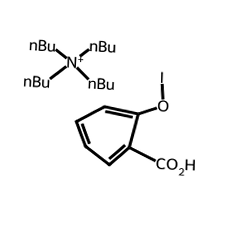 CCCC[N+](CCCC)(CCCC)CCCC.O=C(O)c1ccccc1OI